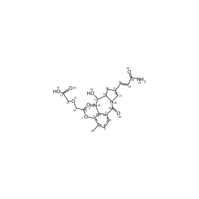 Cc1ccc2c(c1OC(=O)COCC(=O)O)NC(O)C1CC(C=CC(N)=O)=CN1C2=O